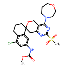 CC(C)(C)OC(=O)Nc1cc(Cl)c2c(c1)C1(CCC2)Cc2nc(S(C)(=O)=O)nc(N3CCCOCC3)c2CO1